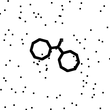 ClB(C1CCCCCCC1)C1CCCCCCC1